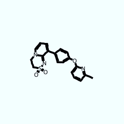 Cc1cccc(Oc2ccc(C3=CC=CN4CCS(=O)(=O)N=C34)cc2)n1